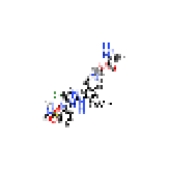 COc1cc2c(cc1Nc1ncc(Cl)c(Nc3ccccc3S(=O)(=O)N(C)C)n1)CCN(CCOC(=O)[C@@H](N)C(C)C)CC2